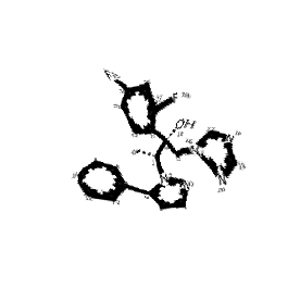 C[C@@H](n1nccc1-c1ccccc1)[C@](O)(Cn1cncn1)c1ccc(F)cc1F